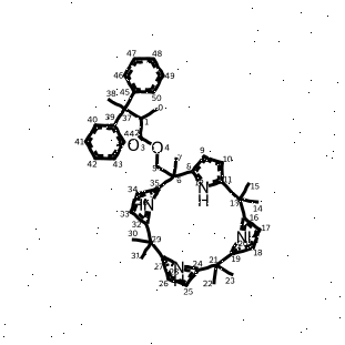 CC(C(=O)OCC1(C)c2ccc([nH]2)C(C)(C)c2ccc([nH]2)C(C)(C)c2ccc([nH]2)C(C)(C)c2ccc1[nH]2)C(C)(c1ccccc1)c1ccccc1